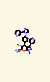 Cn1nc(-c2ccncc2)c2c1OC(N)=C(C#N)C2c1ccc(-n2ccnc2-c2cccnc2)cc1